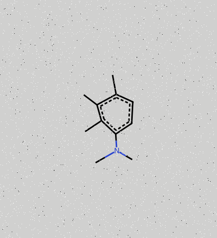 Cc1ccc(N(C)C)c(C)c1C